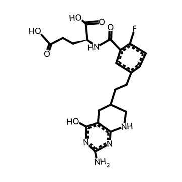 Nc1nc(O)c2c(n1)NCC(CCc1ccc(F)c(C(=O)N[C@@H](CCC(=O)O)C(=O)O)c1)C2